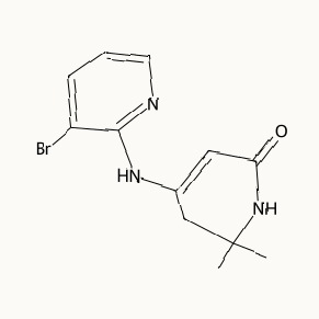 CC1(C)CC(Nc2ncccc2Br)=CC(=O)N1